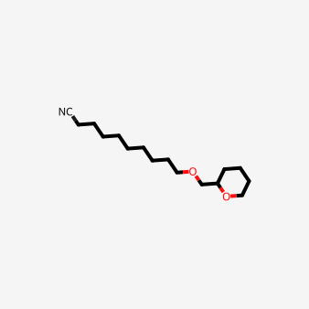 N#CCCCCCCCCCOCC1CCCCO1